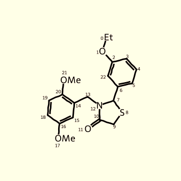 CCOc1cccc(C2SCC(=O)N2Cc2cc(OC)ccc2OC)c1